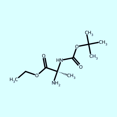 CCOC(=O)[C@](C)(N)NC(=O)OC(C)(C)C